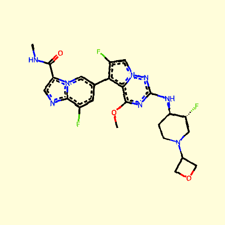 CNC(=O)c1cnc2c(F)cc(-c3c(F)cn4nc(N[C@@H]5CCN(C6COC6)C[C@H]5F)nc(OC)c34)cn12